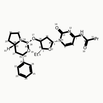 CC[C@H]1O[C@@H](n2ccc(NC(=O)C(C)C)nc2=O)CC1O[P@]1O[C@H](c2ccccc2)C[C@@H]2CCCN21